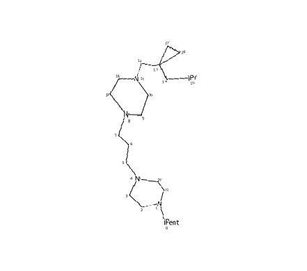 CCCC(C)N1CCN(CCCN2CCN(CC3(CC(C)C)CC3)CC2)CC1